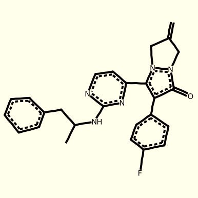 C=C1Cn2c(-c3ccnc(NC(C)Cc4ccccc4)n3)c(-c3ccc(F)cc3)c(=O)n2C1